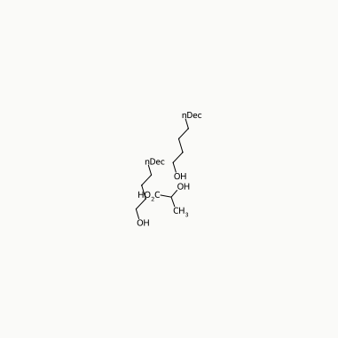 CC(O)C(=O)O.CCCCCCCCCCCCCCO.CCCCCCCCCCCCCCO